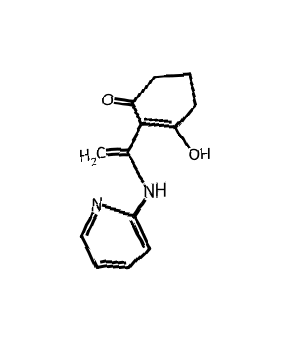 C=C(Nc1ccccn1)C1=C(O)CCCC1=O